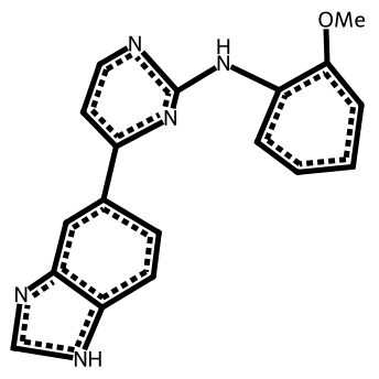 COc1ccccc1Nc1nccc(-c2ccc3[nH]cnc3c2)n1